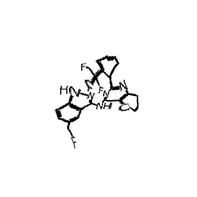 Fc1ccc2[nH]nc(Nc3nc(-c4ccccc4C(F)(F)F)nc4c3OCCC4)c2c1